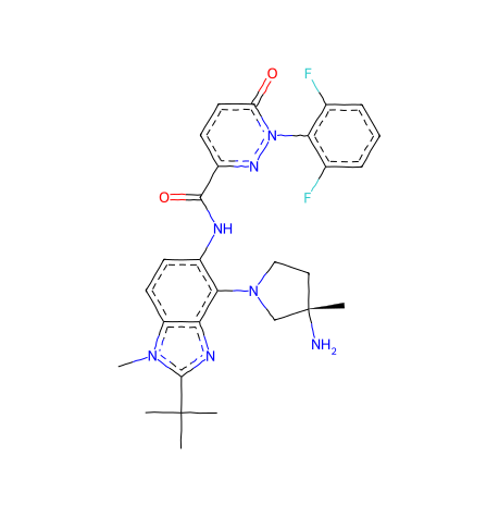 Cn1c(C(C)(C)C)nc2c(N3CC[C@](C)(N)C3)c(NC(=O)c3ccc(=O)n(-c4c(F)cccc4F)n3)ccc21